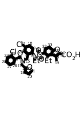 CCc1c(S(=O)(=O)N(CC)c2ccc(Cl)cc2CN(Cc2ccco2)C(=O)c2ccccc2Cl)ccc2oc(C(=O)O)c(C)c12